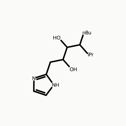 CCCCC(C(C)C)C(O)C(O)Cc1ncc[nH]1